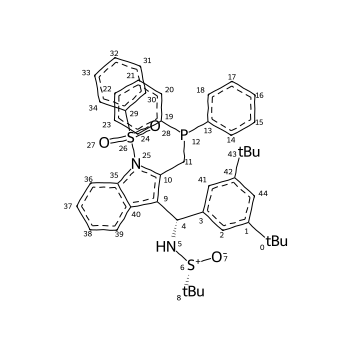 CC(C)(C)c1cc([C@H](N[S@+]([O-])C(C)(C)C)c2c(CP(c3ccccc3)c3ccccc3)n(S(=O)(=O)c3ccccc3)c3ccccc23)cc(C(C)(C)C)c1